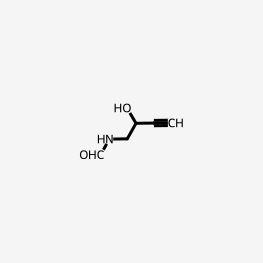 C#CC(O)CNC=O